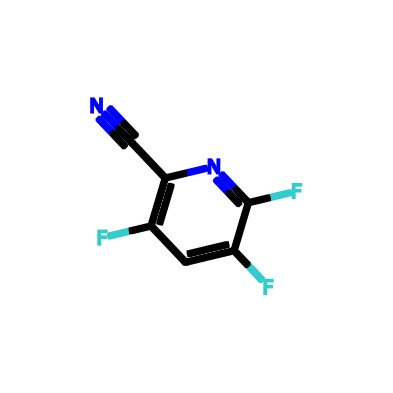 N#Cc1nc(F)c(F)cc1F